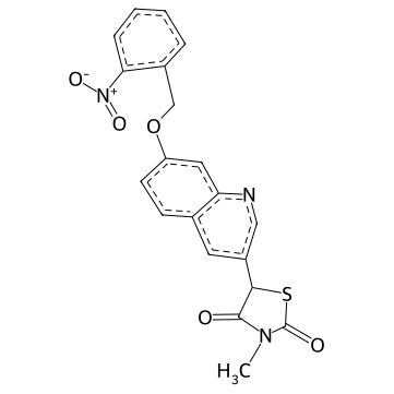 CN1C(=O)SC(c2cnc3cc(OCc4ccccc4[N+](=O)[O-])ccc3c2)C1=O